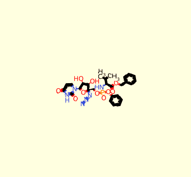 CC(C)[C@H](NP(=O)(OC[C@@]1(N=[N+]=[N-])O[C@@H](n2ccc(=O)[nH]c2=O)[C@H](O)[C@@H]1O)Oc1ccccc1)C(=O)OCc1ccccc1